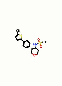 CC(C)S(=O)(=O)N[C@H]1CCOC[C@@H]1c1ccc(-c2ccc(C#N)s2)cc1